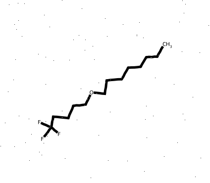 CCCCCCCCOCCCCC(F)(F)F